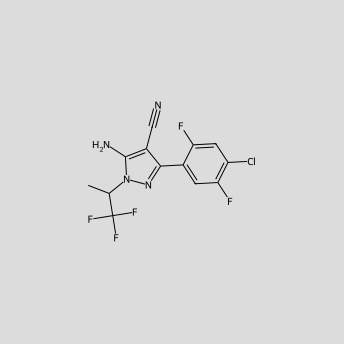 CC(n1nc(-c2cc(F)c(Cl)cc2F)c(C#N)c1N)C(F)(F)F